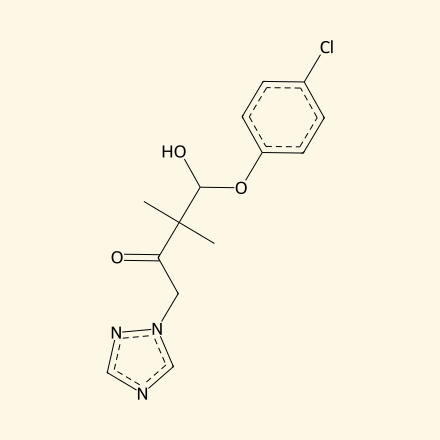 CC(C)(C(=O)Cn1cncn1)C(O)Oc1ccc(Cl)cc1